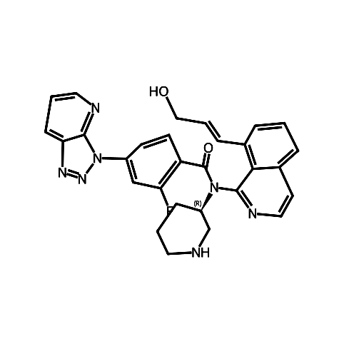 O=C(c1ccc(-n2nnc3cccnc32)cc1F)N(c1nccc2cccc(C=CCO)c12)[C@@H]1CCCNC1